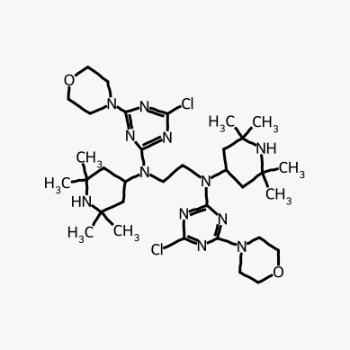 CC1(C)CC(N(CCN(c2nc(Cl)nc(N3CCOCC3)n2)C2CC(C)(C)NC(C)(C)C2)c2nc(Cl)nc(N3CCOCC3)n2)CC(C)(C)N1